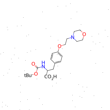 CC(C)(C)OC(=O)NC(Cc1ccc(OCCN2CCOCC2)cc1)C(=O)O